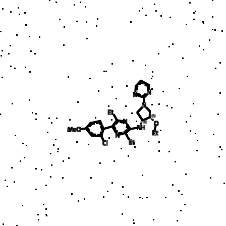 CCO[C@H]1CN(c2ncccn2)C[C@H]1Nc1nc(CC)c(-c2ccc(OC)cc2Cl)nc1CC